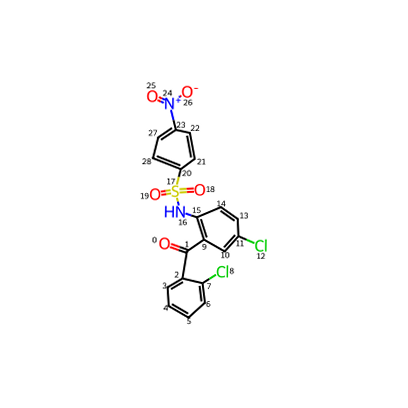 O=C(c1ccccc1Cl)c1cc(Cl)ccc1NS(=O)(=O)c1ccc([N+](=O)[O-])cc1